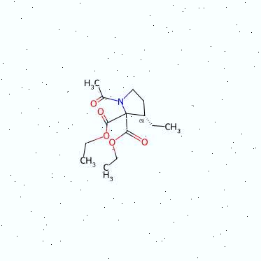 CCOC(=O)C1(C(=O)OCC)[C@@H](CC)CCN1C(C)=O